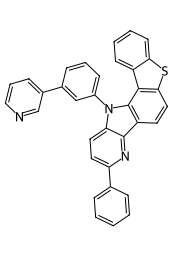 c1ccc(-c2ccc3c(n2)c2ccc4sc5ccccc5c4c2n3-c2cccc(-c3cccnc3)c2)cc1